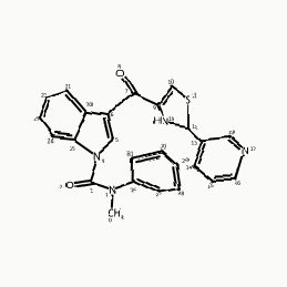 CN(C(=O)n1cc(C(=O)C2=CSC(c3cccnc3)N2)c2ccccc21)c1ccccc1